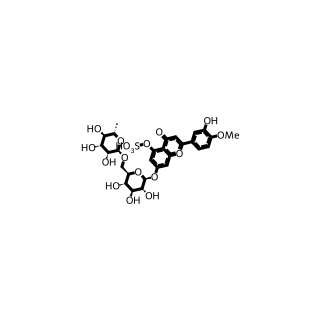 COc1ccc(-c2cc(=O)c3c(OS(=O)(=O)O)cc(O[C@@H]4O[C@H](CO[C@@H]5O[C@@H](C)[C@H](O)[C@@H](O)[C@H]5O)[C@@H](O)[C@H](O)[C@H]4O)cc3o2)cc1O